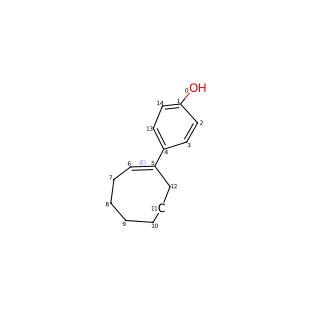 Oc1ccc(/C2=C/CCCCCC2)cc1